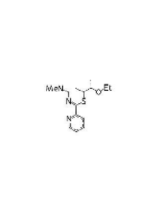 CCO[C@@H](C)C(C)S/C(=N\CNC)c1ccccn1